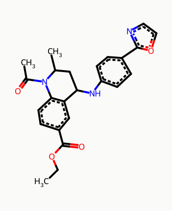 CCOC(=O)c1ccc2c(c1)C(Nc1ccc(-c3ncco3)cc1)CC(C)N2C(C)=O